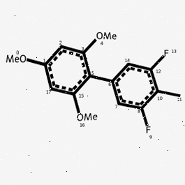 COc1cc(OC)c(-c2cc(F)c(C)c(F)c2)c(OC)c1